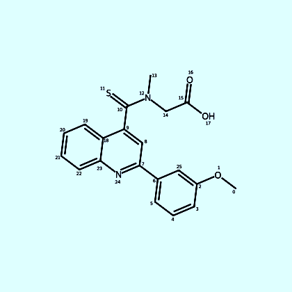 COc1cccc(-c2cc(C(=S)N(C)CC(=O)O)c3ccccc3n2)c1